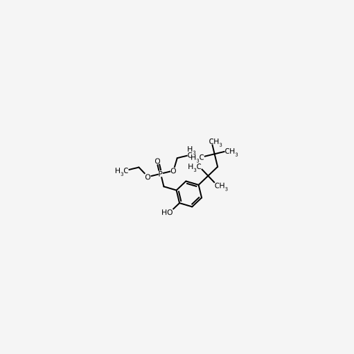 CCOP(=O)(Cc1cc(C(C)(C)CC(C)(C)C)ccc1O)OCC